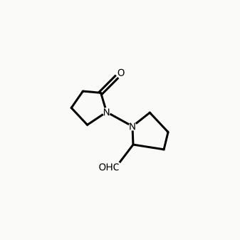 O=CC1CCCN1N1CCCC1=O